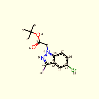 CC(C)(C)OC(=O)Cn1nc(I)c2cc(Br)ccc21